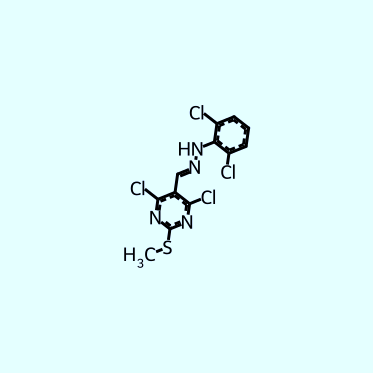 CSc1nc(Cl)c(/C=N/Nc2c(Cl)cccc2Cl)c(Cl)n1